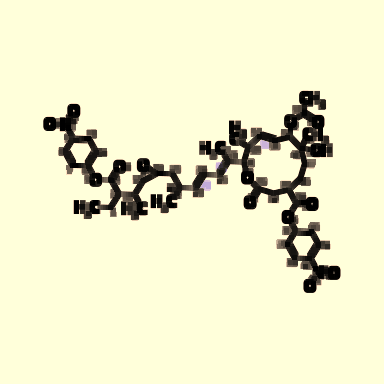 CCC(C(=O)Oc1ccc([N+](=O)[O-])cc1)C(C)C1OC1CC(C)/C=C/C=C(\C)C1OC(=O)CC(C(=O)Oc2ccc([N+](=O)[O-])cc2)CCC(C)(O)C(OC(C)=O)/C=C/C1C